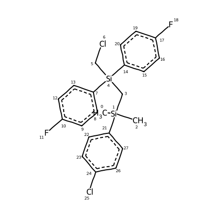 C[Si](C)(C[Si](CCl)(c1ccc(F)cc1)c1ccc(F)cc1)c1ccc(Cl)cc1